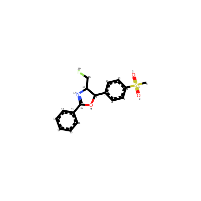 CS(=O)(=O)c1ccc(C2OC(c3ccccc3)=NC2CF)cc1